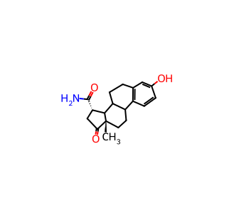 C[C@]12CCC3c4ccc(O)cc4CCC3C1[C@@H](C(N)=O)CC2=O